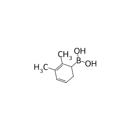 CC1=C(C)C(B(O)O)CC=C1